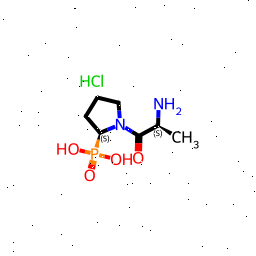 C[C@H](N)C(=O)N1CCC[C@@H]1P(=O)(O)O.Cl